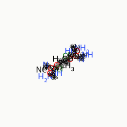 Cc1c(COc2cc(OCc3cncc(C#N)c3)c(CN[C@H](C(N)=O)C3CC3)cc2Cl)cccc1-c1cccc(COc2cc(OCc3cncc(C=N)c3)c(CN[C@H](C(N)=O)C3CC3)cc2Cl)c1C